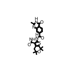 Cc1nc2cc(C(=O)Nc3sc4c(c3C(N)=O)CC(C)(C)OC4(C)C)ccc2c(=O)[nH]1